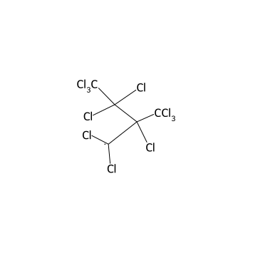 Cl[C](Cl)C(Cl)(C(Cl)(Cl)Cl)C(Cl)(Cl)C(Cl)(Cl)Cl